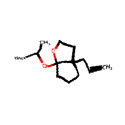 C=CCC12CCCC1(OC(C)CCCCCC)OCC2